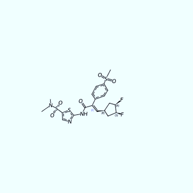 CN(C)S(=O)(=O)c1cnc(NC(=O)/C(=C/[C@H]2C[C@@H](F)[C@@H](F)C2)c2ccc(S(C)(=O)=O)cc2)s1